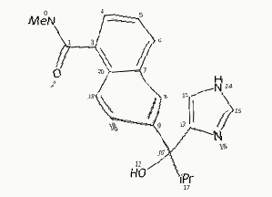 CNC(=O)c1cccc2cc(C(O)(c3c[nH]cn3)C(C)C)ccc12